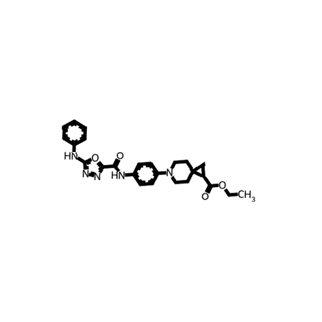 CCOC(=O)C1CC12CCN(c1ccc(NC(=O)c3nnc(Nc4ccccc4)o3)cc1)CC2